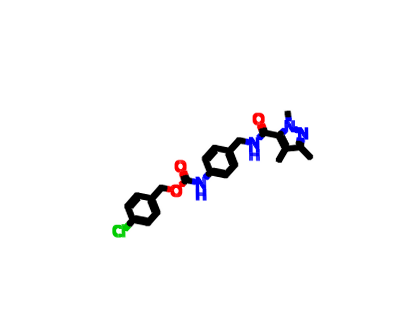 Cc1nn(C)c(C(=O)NCc2ccc(NC(=O)OCc3ccc(Cl)cc3)cc2)c1C